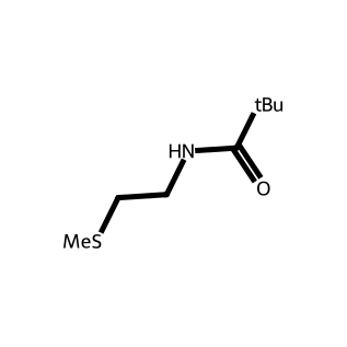 CSCCNC(=O)C(C)(C)C